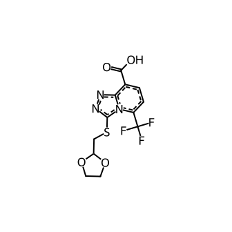 O=C(O)c1ccc(C(F)(F)F)n2c(SCC3OCCO3)nnc12